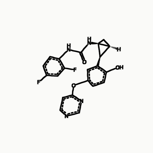 O=C(Nc1ccc(F)cc1F)N[C@@]12C[C@H]1[C@H]2c1cc(Oc2ccncn2)ccc1O